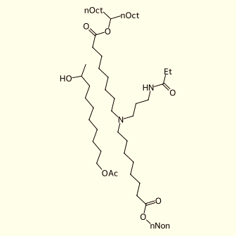 CC(=O)OCCCCCCCCC(C)O.CCCCCCCCCOC(=O)CCCCCCCN(CCCCCCCC(=O)OC(CCCCCCCC)CCCCCCCC)CCCNC(=O)CC